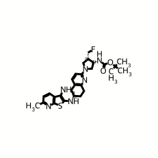 Cc1ccc2c(N)c(N[C@H]3CCc4nc(N5C[C@H](CF)[C@H](NC(=O)OC(C)(C)C)C5)ccc4C3)sc2n1